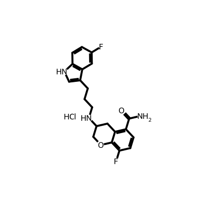 Cl.NC(=O)c1ccc(F)c2c1CC(NCCCc1c[nH]c3ccc(F)cc13)CO2